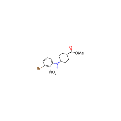 COC(=O)[C@H]1CC[C@@H](Nc2cccc(Br)c2[N+](=O)[O-])CC1